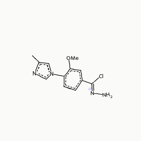 COc1cc(/C(Cl)=N/N)ccc1-n1cnc(C)c1